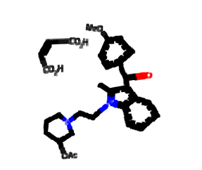 COc1ccc(C(=O)c2c(C)n(CCN3CCCC(OC(C)=O)C3)c3ccccc23)cc1.O=C(O)/C=C\C(=O)O